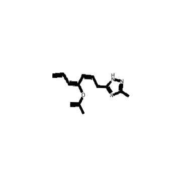 C=C/C=C(\C=C/Cc1nc(C)n[nH]1)OC(=C)C